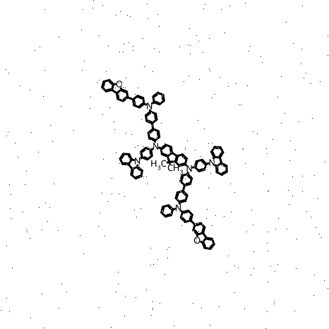 CC1(C)c2cc(N(c3ccc(-c4ccc(N(c5ccccc5)c5ccc(-c6ccc7c(c6)oc6ccccc67)cc5)cc4)cc3)c3ccc(-n4c5ccccc5c5ccccc54)cc3)ccc2-c2ccc(N(c3ccc(-c4ccc(N(c5ccccc5)c5ccc(-c6ccc7c(c6)oc6ccccc67)cc5)cc4)cc3)c3ccc(-n4c5ccccc5c5ccccc54)cc3)cc21